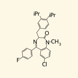 CC(C)c1ccc(CC2N=C(c3ccc(F)cc3)c3cc(Cl)ccc3N(C)C2=O)cc1C(C)C